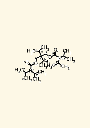 CC(C)N(C(=O)OCC(COC(=O)N(C(C)C)C(C)C)(C(C)C)C(C)C)C(C)C